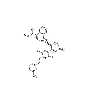 CO/C=C(/C(=O)OC)c1ccccc1CO/N=C(C)/C(=N\OC)c1cc(F)c(OCc2cccc(C(F)(F)F)c2)cc1F